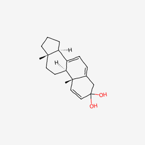 C[C@@]12CCC[C@H]1C1=CC=C3CC(O)(O)C=C[C@]3(C)[C@H]1CC2